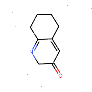 O=C1C=C2CCCCC2=NC1